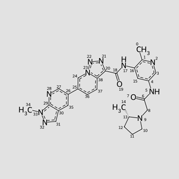 Cc1ncc(NC(=O)CN2CCC[C@@H]2C)cc1NC(=O)c1nnn2cc(-c3cnc4c(cnn4C)c3)ccc12